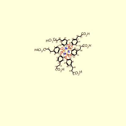 O=C(O)CCc1ccc(OP2(Oc3ccc(CCC(=O)O)cc3)=NP(Oc3ccc(CCC(=O)O)cc3)(Oc3ccc(CCC(=O)O)cc3)=NP(Oc3ccc(CCC(=O)O)cc3)(Oc3ccc(CCC(=O)O)cc3)=N2)cc1